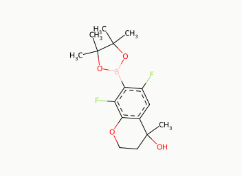 CC1(O)CCOc2c1cc(F)c(B1OC(C)(C)C(C)(C)O1)c2F